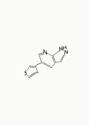 c1cc(-c2cnc3[nH]ncc3c2)cs1